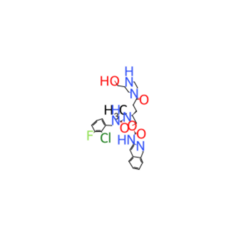 CN(C(=O)NCc1cccc(F)c1Cl)[C@@H](CCC(=O)N1CCNC(CO)C1)COC(=O)Nc1cc2ccccc2cn1